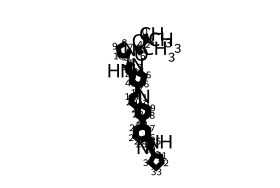 CC(C)(C)OC(=O)N1CCC[C@H]1c1nc2ccc(-c3ccc4cc(-c5ccc6nc(C7CCCC7)[nH]c6c5)ccc4n3)cc2[nH]1